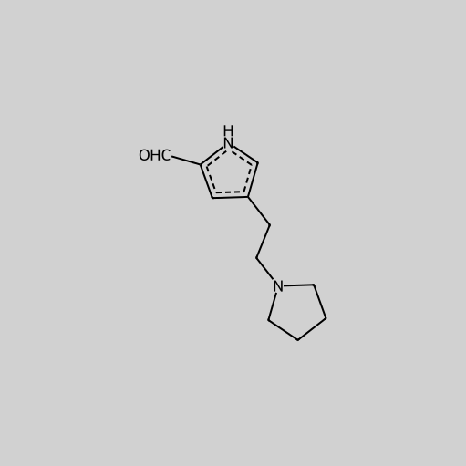 O=Cc1cc(CCN2CCCC2)c[nH]1